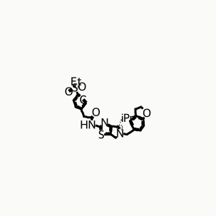 CCS(=O)(=O)c1ccc(CC(=O)Nc2nc3c(s2)CN(Cc2ccc4c(c2)CCO4)[C@H]3C(C)C)cc1